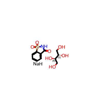 O=C1NS(=O)(=O)c2ccccc21.OC[C@@H](O)[C@@H](O)CO.[NaH]